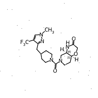 Cn1cc(C(F)(F)F)c(CC2CCN(C(=O)N3CC[C@@H]4OCC(=O)N[C@@H]4C3)CC2)n1